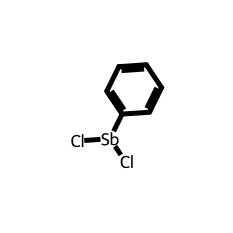 [Cl][Sb]([Cl])[c]1ccccc1